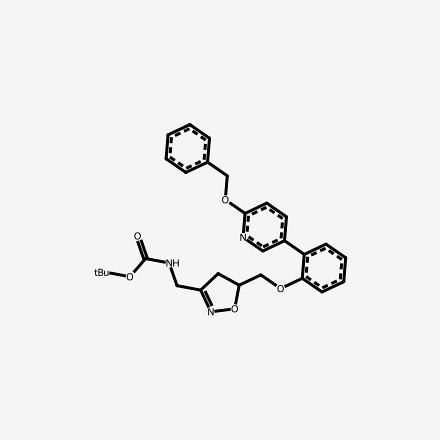 CC(C)(C)OC(=O)NCC1=NOC(COc2ccccc2-c2ccc(OCc3ccccc3)nc2)C1